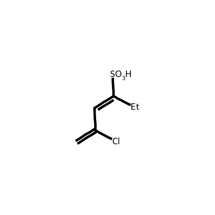 C=C(Cl)/C=C(\CC)S(=O)(=O)O